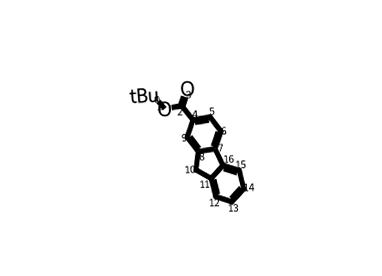 CC(C)(C)OC(=O)c1ccc2c(c1)Cc1ccccc1-2